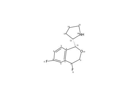 Fc1ccc2c(c1)C(F)COC2[C@@H]1CCCN1